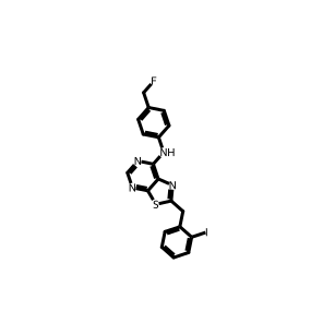 FCc1ccc(Nc2ncnc3sc(Cc4ccccc4I)nc23)cc1